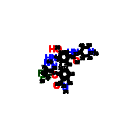 Cc1cc(Nc2ncc(C(F)(F)F)c(Oc3cccc4c3C(=O)N(C)C4)n2)c(O)cc1C(=O)NC1CCN(C)CC1